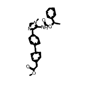 COC(=O)Cc1ccc(-c2ccc(-c3ncn(C)c3NC(=O)OC(C)c3ccccc3)cc2)cc1